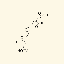 O=C(O)CCC(CCCc1ccc(CCCC(CCC(=O)O)C(=O)O)o1)C(=O)O